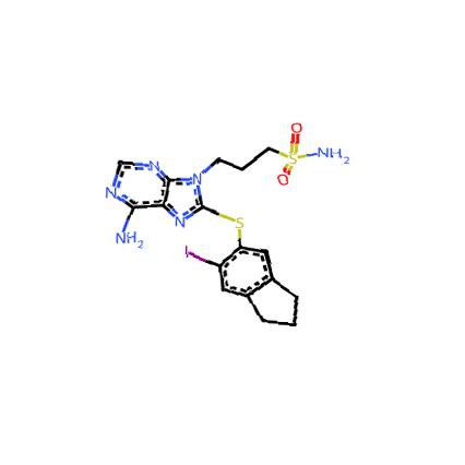 Nc1ncnc2c1nc(Sc1cc3c(cc1I)CCC3)n2CCCS(N)(=O)=O